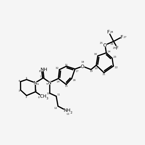 CC1CCCCN1C(=N)N(CCCN)c1ccc(OCc2cccc(OC(F)(F)F)c2)cc1